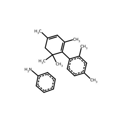 CC1=CC(C)=C(c2ccc(C)cc2C)C(C)(C)C1.Nc1ccccc1